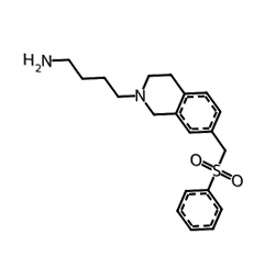 NCCCCN1CCc2ccc(CS(=O)(=O)c3ccccc3)cc2C1